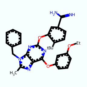 CCOc1cccc(Oc2nc(Oc3cc(C(=N)N)ccc3C(C)(C)C)nc3c2nc(C)n3Cc2ccccc2)c1